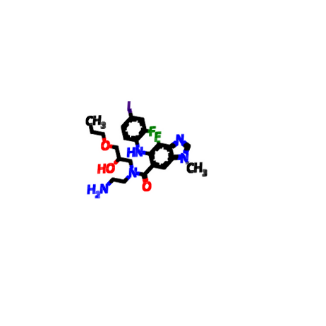 CCCOCC(O)CN(CCN)C(=O)c1cc2c(ncn2C)c(F)c1Nc1ccc(I)cc1F